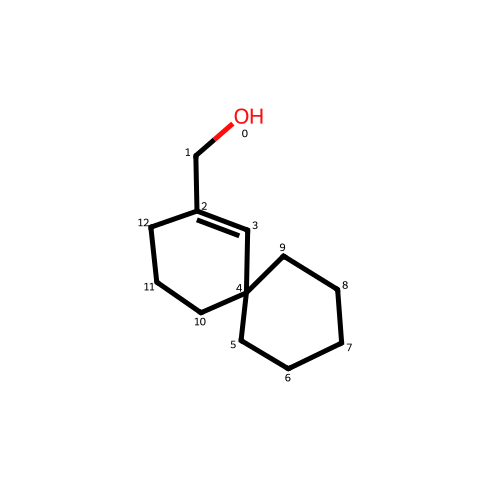 OCC1=CC2(CCCCC2)CCC1